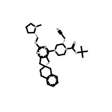 CN1CCC[C@H]1COc1nc2c(c(N3CCN(C(=O)OC(C)(C)C)[C@@H](CC#N)C3)n1)C[C@]1(CCc3ccccc3C1)C2